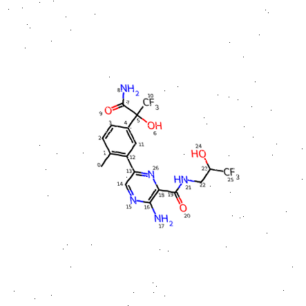 Cc1ccc(C(O)(C(N)=O)C(F)(F)F)cc1-c1cnc(N)c(C(=O)NCC(O)C(F)(F)F)n1